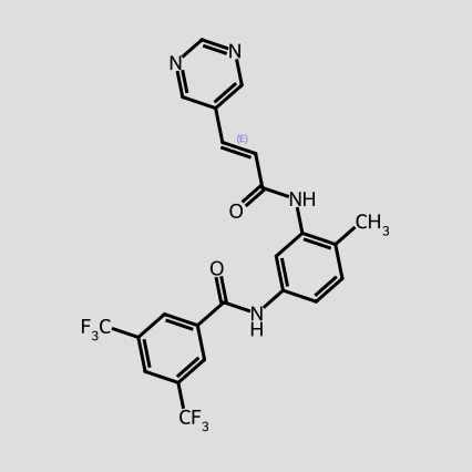 Cc1ccc(NC(=O)c2cc(C(F)(F)F)cc(C(F)(F)F)c2)cc1NC(=O)/C=C/c1cncnc1